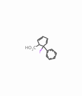 O=C(O)C1C=CC=CC1(I)c1ccccc1